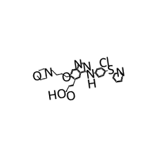 O=C(O)C=Cc1cc2c(Nc3ccc(Sc4ccccn4)c(Cl)c3)ncnc2cc1OCCCN1CCOCC1